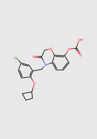 O=C(O)Oc1cccc2c1OCC(=O)N2Cc1cc(Cl)ccc1OC1CCC1